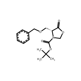 CC(C)(C)OC(=O)N1COC(=O)[C@H]1COCc1ccccc1